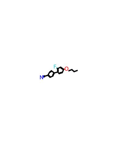 CCCCOc1ccc(-c2ccc(C#N)cc2)c(F)c1